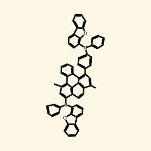 Cc1cc(-c2ccc(N(c3ccccc3)c3cccc4c3oc3ccccc34)cc2)c2c3ccccc3c3c(C)cc(B(c4ccccc4)c4cccc5c4oc4ccccc45)c4ccc1c2c43